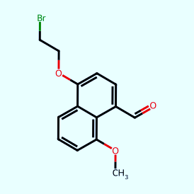 COc1cccc2c(OCCBr)ccc(C=O)c12